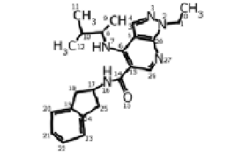 CCn1ncc2c(N[C@H](C)C(C)C)c(C(=O)NC3Cc4ccccc4C3)cnc21